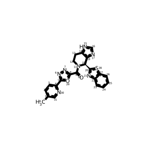 Cc1ccc(-c2nnc(C(=O)N3CCc4[nH]cnc4[C@H]3c3nc4ccccc4s3)o2)nc1